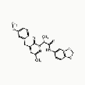 COc1cccc(Cc2cc(C)nn(C(C)C(=O)Nc3ccc4c(c3)OCO4)c2=O)c1